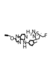 C#CCOc1cnc2c(Nc3ccc4c(c3)[C@]3(C4)C[C@](C)(CF)SC(N)=N3)nccc2n1